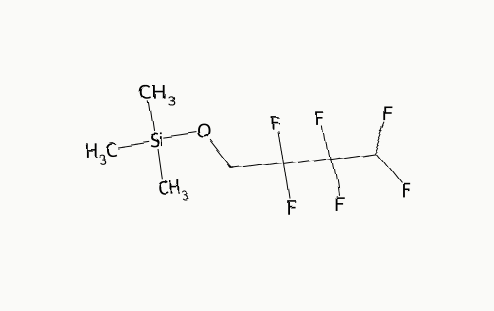 C[Si](C)(C)OCC(F)(F)C(F)(F)C(F)F